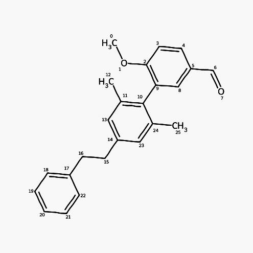 COc1ccc(C=O)cc1-c1c(C)cc(CCc2ccccc2)cc1C